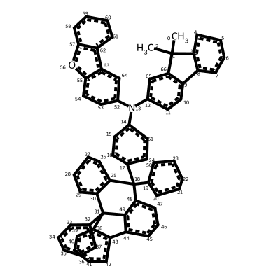 CC1(C)c2ccccc2-c2ccc(N(c3ccc(C4(c5ccccc5)c5ccccc5C5(c6ccccc6)c6ccccc6-c6cccc4c65)cc3)c3ccc4oc5ccccc5c4c3)cc21